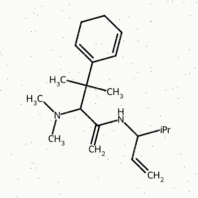 C=CC(NC(=C)C(N(C)C)C(C)(C)C1=CCCC=C1)C(C)C